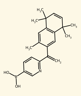 C=C(c1ccc(B(O)O)cn1)c1cc2c(cc1C)C(C)(C)C=CC2(C)C